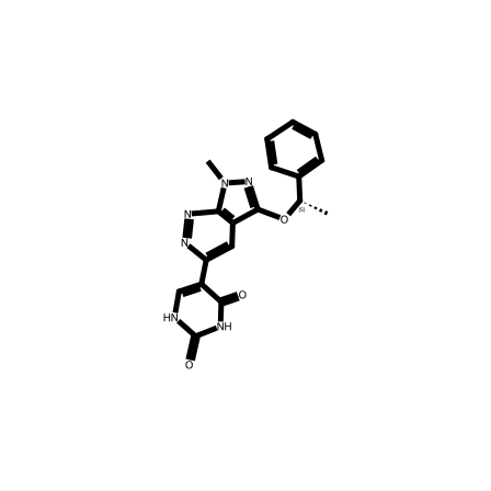 C[C@H](Oc1nn(C)c2nnc(-c3c[nH]c(=O)[nH]c3=O)cc12)c1ccccc1